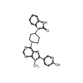 Cn1c(-c2ccc(O)nc2)nc2c(N3CCC(n4c(=O)[nH]c5ccccc54)CC3)ncnc21